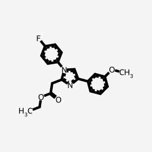 CCOC(=O)Cc1nc(-c2cccc(OC)c2)cn1-c1ccc(F)cc1